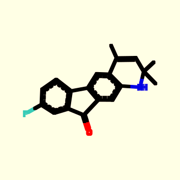 CC1=CC(C)(C)Nc2cc3c(cc21)-c1ccc(F)cc1C3=O